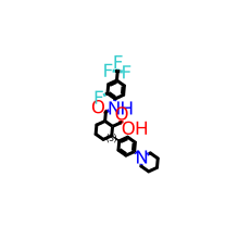 O=C(Nc1ccc(C(F)(F)F)cc1F)C1CCC[C@H](c2ccc(N3CCCCC3)cc2)C1C(=O)O